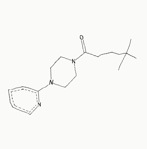 CC(C)(C)CCC(=O)N1CCN(c2ccccn2)CC1